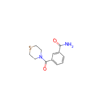 NC(=O)c1cccc(C(=O)N2CCSCC2)c1